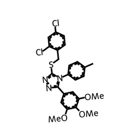 COc1cc(-c2nnc(SCc3ccc(Cl)cc3Cl)n2-c2ccc(C)cc2)cc(OC)c1OC